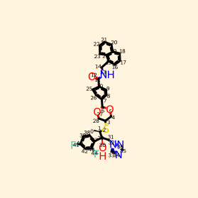 C[C@@H](SC1COC(c2ccc(C(=O)NCc3cccc4ccccc34)cc2)OC1)[C@](O)(Cn1cncn1)c1ccc(F)cc1F